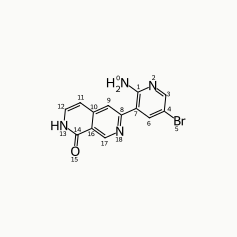 Nc1ncc(Br)cc1-c1cc2cc[nH]c(=O)c2cn1